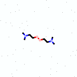 CN(C)CCOOCCN(C)C